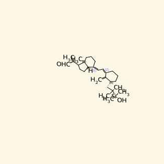 C=C1/C(=C\C=C2/CCC[C@]3(C)C([C@H](C)C=O)CC[C@@H]23)CCC[C@@H]1CC(C)(C)[Si](C)(C)O